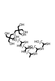 CC(S)C(=O)O.CC(S)C(=O)O.CC(S)C(=O)O.CC(S)C(=O)O.CC(S)C(=O)O.OCC(CO)(CO)COCC(CO)(CO)CO